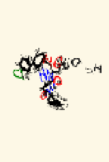 O=C(N[C@H](Cc1ccc(-c2cccc(Cl)c2)cc1)C[C@@H](O)C(=O)O)c1ccc(=O)n(-c2ccccc2)n1